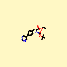 CCOC(=O)[C@H](Cc1ccc(-c2cncnc2)cc1)NC(=O)OC(C)(C)C